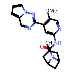 COc1cnc(NC(=O)N2C3CC(C)CC2C3)cc1-c1ncc2cccn2n1